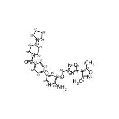 Cc1noc(C)c1-c1nc(COc2cc(-c3ccc(C(=O)N4CCC(N5CCCC5)CC4)cc3)cnc2N)no1